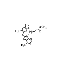 COC(=O)CCNCCn1c(Sc2cc3c(cc2C)OCO3)nc2c(N)ncnc21